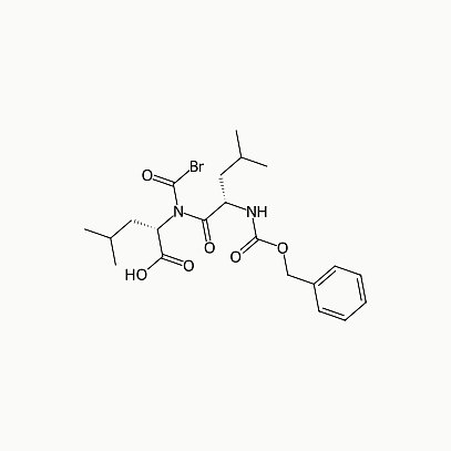 CC(C)C[C@H](NC(=O)OCc1ccccc1)C(=O)N(C(=O)Br)[C@@H](CC(C)C)C(=O)O